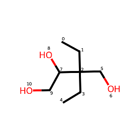 CCC(CC)(CO)C(O)CO